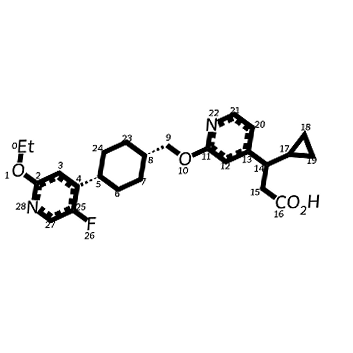 CCOc1cc([C@H]2CC[C@@H](COc3cc(C(CC(=O)O)C4CC4)ccn3)CC2)c(F)cn1